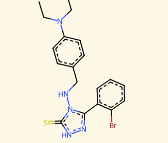 CCN(CC)c1ccc(CNn2c(-c3ccccc3Br)n[nH]c2=S)cc1